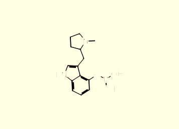 CN1CCCC1Cc1c[nH]c2cccc(OP(O)O)c12